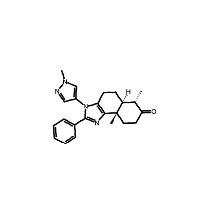 C[C@@H]1C(=O)CC[C@]2(C)c3nc(-c4ccccc4)n(-c4cnn(C)c4)c3CC[C@@H]12